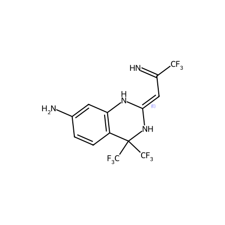 N=C(/C=C1\Nc2cc(N)ccc2C(C(F)(F)F)(C(F)(F)F)N1)C(F)(F)F